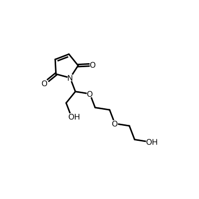 O=C1C=CC(=O)N1C(CO)OCCOCCO